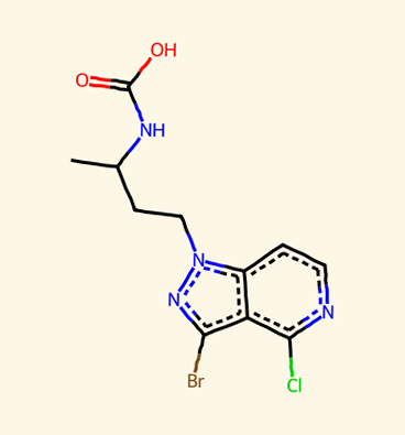 CC(CCn1nc(Br)c2c(Cl)nccc21)NC(=O)O